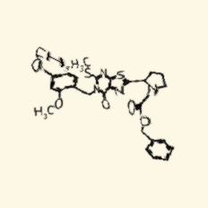 COc1ccc(Cn2c(SC)nc3sc(C4CCCN4C(=O)OCc4ccccc4)nc3c2=O)c(OC)c1